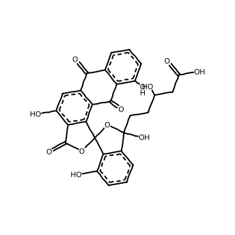 O=C(O)CC(O)CCC1(O)OC2(OC(=O)c3c(O)cc4c(c32)C(=O)c2c(O)cccc2C4=O)c2c(O)cccc21